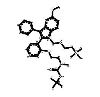 COc1ccc2c(n1)c(-c1ccccc1)c(-c1ccncc1OCCN(C)C(=O)OC(C)(C)C)n2COCC[Si](C)(C)C